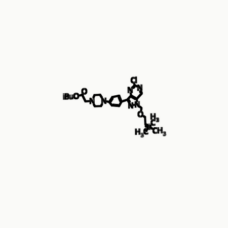 CC(C)COC(=O)CN1CCN(c2ccc(-c3nn(COCC[Si](C)(C)C)c4cnc(Cl)nc34)cc2)CC1